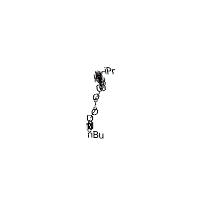 CCCCc1ccc(N=Nc2ccc(OCCCCOc3ccc(C#Cc4ccc(OCCCCCC(=O)O[C@H]5CC[C@@]6(C)C(=CC[C@H]7[C@@H]8CC[C@H]([C@H](C)CCCC(C)C)[C@@]8(C)CC[C@@H]76)C5)cc4)cc3)cc2)cc1